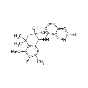 CCc1ncc2c(NC3c4cc(C)c(F)c(OC)c4C(C)(C)CC3(O)C(F)(F)F)cccc2n1